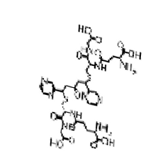 N[C@H](CCC(=O)N[C@@H](CSC(CC(=O)CC(SC[C@H](NC(=O)CC[C@H](N)C(=O)O)C(=O)NCC(=O)O)c1cnccn1)c1cnccn1)C(=O)NCC(=O)O)C(=O)O